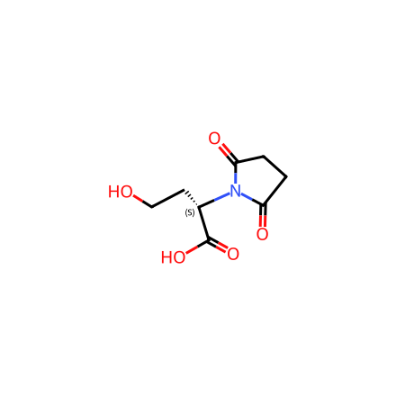 O=C(O)[C@H](CCO)N1C(=O)CCC1=O